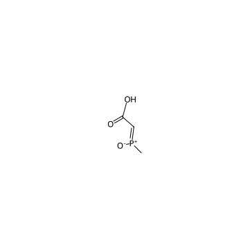 C[P+]([O-])=CC(=O)O